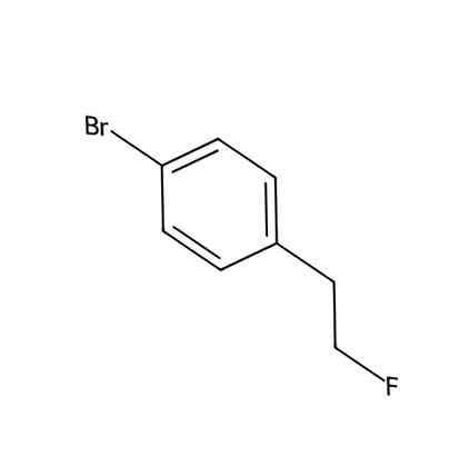 FCCc1ccc(Br)cc1